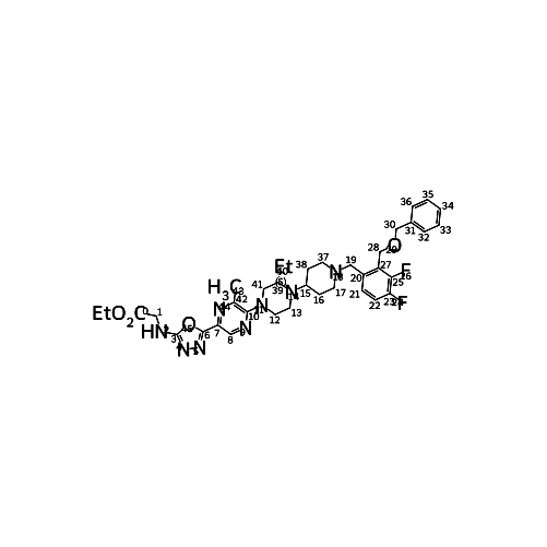 CCOC(=O)CNc1nnc(-c2cnc(N3CCN(C4CCN(Cc5ccc(F)c(F)c5COCc5ccccc5)CC4)[C@@H](CC)C3)c(C)n2)o1